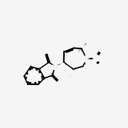 C[C@@H]1C=C[C@H](N2C(=O)c3ccccc3C2=O)[C@@H](O)CN1[SH](=O)=O